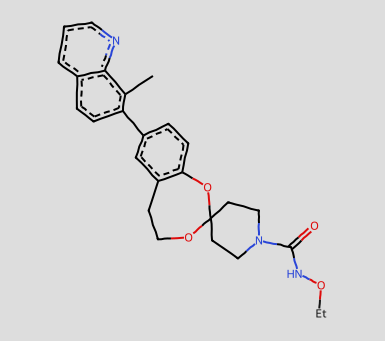 CCONC(=O)N1CCC2(CC1)OCCc1cc(-c3ccc4cccnc4c3C)ccc1O2